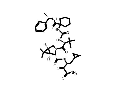 C[C@H](NC(=O)C1(NC(=O)N[C@H](C(=O)N2C[C@H]3[C@@H]([C@H]2C(=O)NC(CC2CC2)C(=O)C(N)=O)C3(C)C)C(C)(C)C)CCCCC1)c1ccccc1